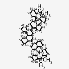 CC1(C)c2ccccc2N(c2ccc(-c3cc4cc(-c5ccc(N6c7ccccc7C(C)(C)c7ccccc76)c6ccccc56)c5ccccc5c4c4ccccc34)c3ccccc23)c2ccccc21